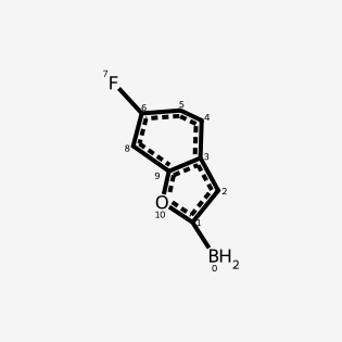 Bc1cc2ccc(F)cc2o1